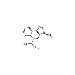 CC(C)c1cc2c(ncn2C)c2ccccc12